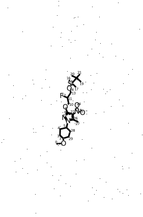 COC1CCC(n2nc(OCC(F)CO[Si](C)(C)C(C)(C)C)c([N+](=O)[O-])c2C)CC1